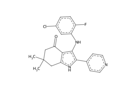 CC1(C)CC(=O)c2c([nH]c(-c3ccncc3)c2Nc2cc(Cl)ccc2F)C1